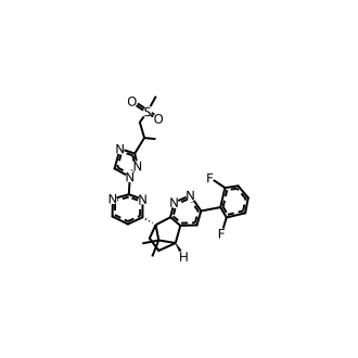 CC(CS(C)(=O)=O)c1ncn(-c2nccc([C@]34CC[C@@H](c5cc(-c6c(F)cccc6F)nnc53)C4(C)C)n2)n1